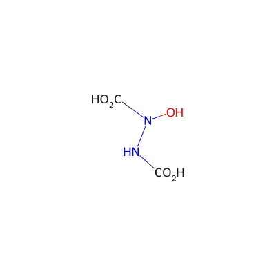 O=C(O)NN(O)C(=O)O